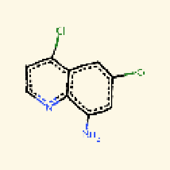 Nc1cc(Cl)cc2c(Cl)ccnc12